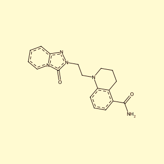 NC(=O)c1cccc2c1CCCN2CCn1nc2ccccn2c1=O